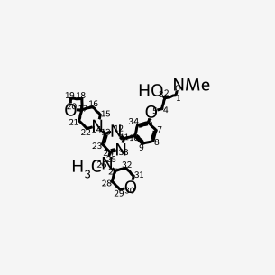 CNCC(O)COc1cccc(-c2nc(N3CCC4(CCO4)CC3)cc(N(C)C3CCOCC3)n2)c1